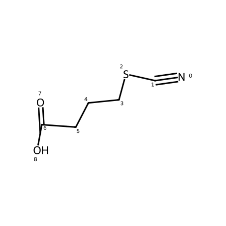 N#CSCCCC(=O)O